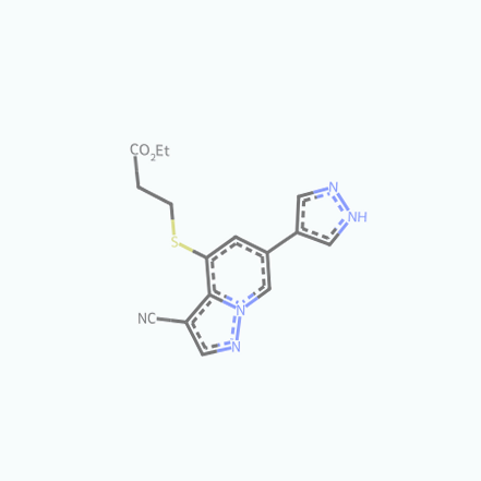 CCOC(=O)CCSc1cc(-c2cn[nH]c2)cn2ncc(C#N)c12